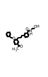 CC(=O)c1ccc(OCc2ccccc2)c(CCCc2cccc(C(=O)NCCO)c2)c1